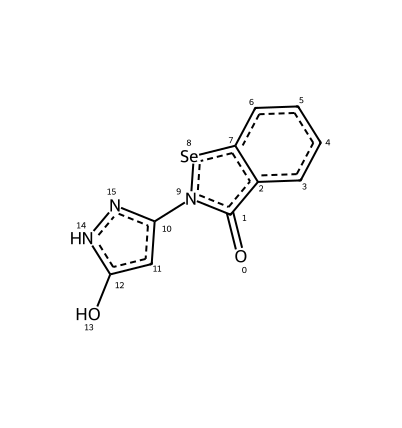 O=c1c2ccccc2[se]n1-c1cc(O)[nH]n1